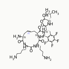 CC(C)C[C@H](NC(=O)[C@H](Cc1c(F)c(F)c(F)c(F)c1F)NC(=O)[C@@H]1C/C=C/C[C@H](N)C(=O)N[C@@H](CCCCN)C(=O)N[C@@H](CCCCN)C(=O)N1)C(=O)O